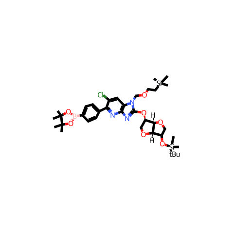 CC1(C)OB(c2ccc(-c3nc4nc(O[C@@H]5CO[C@@H]6C(O[Si](C)(C)C(C)(C)C)CO[C@@H]65)n(COCC[Si](C)(C)C)c4cc3Cl)cc2)OC1(C)C